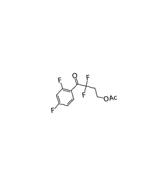 CC(=O)OCCC(F)(F)C(=O)c1ccc(F)cc1F